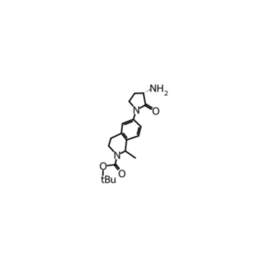 CC1c2ccc(N3CC[C@H](N)C3=O)cc2CCN1C(=O)OC(C)(C)C